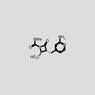 CNC(=O)N1C(=O)[C@H](Cc2ccnc(N)c2)[C@H]1C(=O)O